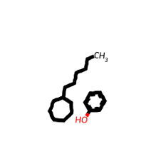 CCCCCCC1CCCCCC1.Oc1ccccc1